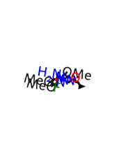 COC[C@H]1CN(C(=O)/C=C/C2CC2)CCN1c1nc(N)c2cc(OC)c(OC)c(F)c2n1